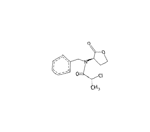 C[C@@H](Cl)C(=O)N(Cc1ccccc1)[C@@H]1CCOC1=O